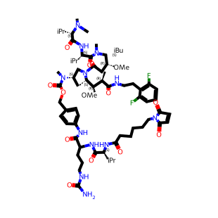 CC[C@H](C)C([C@@H](CC(=O)N1C[C@@H](N(C)C(=O)OCc2ccc(NC(=O)C(CCCNC(N)=O)NC(=O)[C@@H](NC(=O)CCCCCN3C(=O)C=CC3=O)C(C)C)cc2)C[C@H]1[C@H](OC)[C@@H](C)C(=O)NCCc1c(F)cccc1F)OC)N(C)C(=O)[C@@H](NC(=O)[C@H](C(C)C)N(C)C)C(C)C